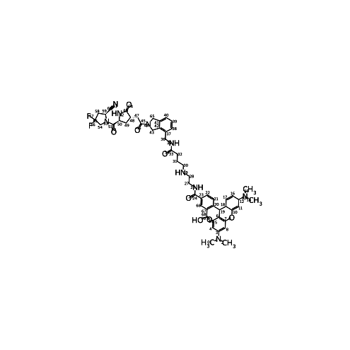 CN(C)c1ccc2c(c1)OC1=CC(N(C)C)C=CC1C2c1ccc(C(=O)NCCNCCCC(=O)NCc2cccc3c2CN(C(=O)C[C@@H]2C[C@@H](C(=O)N4CC(F)(F)C[C@H]4C#N)NC2=O)C3)cc1C(=O)O